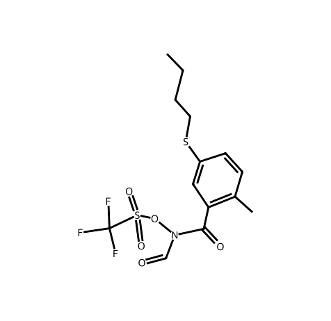 CCCCSc1ccc(C)c(C(=O)N(C=O)OS(=O)(=O)C(F)(F)F)c1